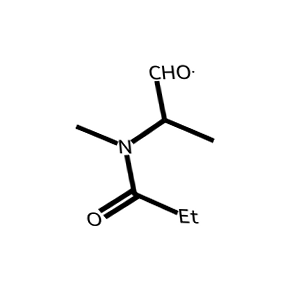 CCC(=O)N(C)C(C)[C]=O